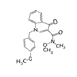 COc1ccc(Cn2cc(C(=O)N(C)OC)c(=O)c3ccccc32)cc1